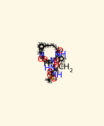 C=C[C@@H]1C[C@]1(NC(=O)[C@@H]1C[C@@H]2CN1C(=O)[C@H](C1CCCC1)NC(=O)CCC/C=C/c1cccc3c1CN(C3)C(=O)O2)C(=O)NS(=O)(=O)C1CC1